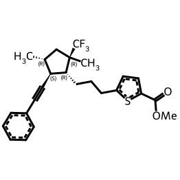 COC(=O)c1ccc(CCC[C@@H]2[C@@H](C#Cc3ccccc3)[C@H](C)C[C@@]2(C)C(F)(F)F)s1